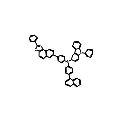 C1=CC(N(c2ccc(-c3ccc4c(ccc5oc(-c6ccccc6)nc54)c3)cc2)c2ccc(-c3cccc4ccccc34)cc2)Cc2c1n(-c1ccccc1)c1ccccc21